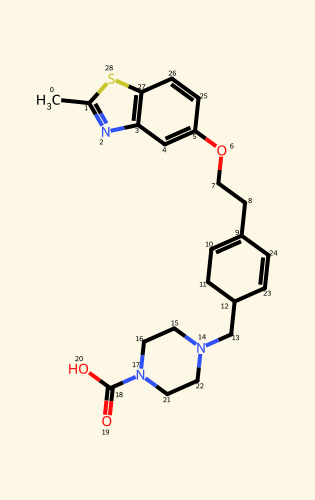 Cc1nc2cc(OCCC3=CCC(CN4CCN(C(=O)O)CC4)C=C3)ccc2s1